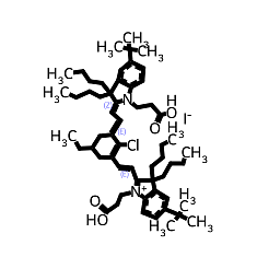 CCCCC1(CCCC)C(/C=C/C2=C(Cl)C(=C/C=C3\N(CCC(=O)O)c4ccc(C(C)(C)C)cc4C3(CCCC)CCCC)/CC(CC)C2)=[N+](CCC(=O)O)c2ccc(C(C)(C)C)cc21.[I-]